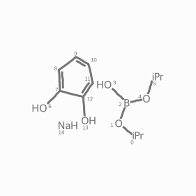 CC(C)OB(O)OC(C)C.Oc1ccccc1O.[NaH]